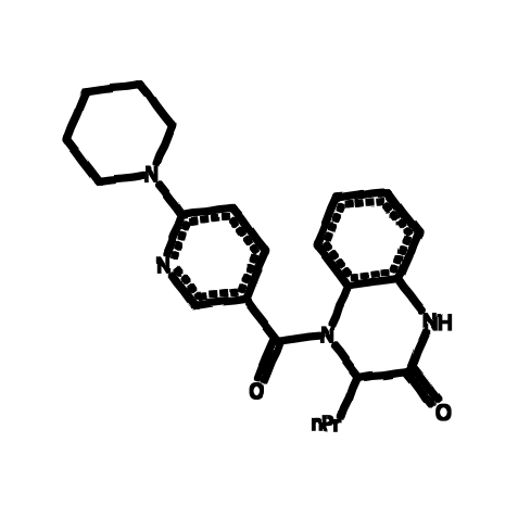 CCCC1C(=O)Nc2ccccc2N1C(=O)c1ccc(N2CCCCC2)nc1